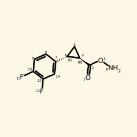 NOC(=O)[C@@H]1C[C@H]1c1ccc(F)c(F)c1